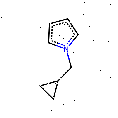 c1ccn(CC2CC2)c1